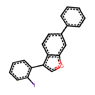 Ic1ccccc1-c1coc2cc(-c3ccccc3)ccc12